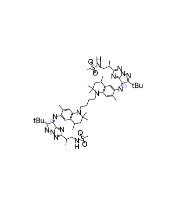 Cc1cc2c(cc1/N=C1/C(C(C)(C)C)=Nn3nc(C(C)CNS(C)(=O)=O)nc31)C(C)CC(C)(C)N2CCCCN1c2cc(C)c(/N=C3/C(C(C)(C)C)=Nn4nc(C(C)CNS(C)(=O)=O)nc43)cc2C(C)CC1(C)C